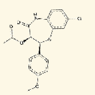 COc1ccc([C@@H]2Sc3cc(Cl)ccc3NC(=O)[C@@H]2OC(C)=O)cc1